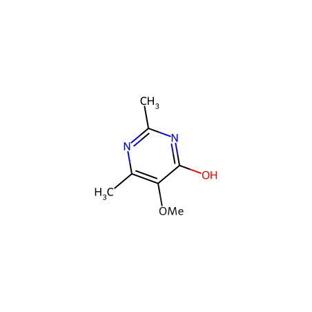 COc1c(C)nc(C)nc1O